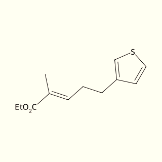 CCOC(=O)/C(C)=C/CCc1ccsc1